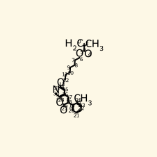 C=C(C)C(=O)OCCCCCCCOc1cc2cc(-c3ccccc3C)c(=O)oc2cn1